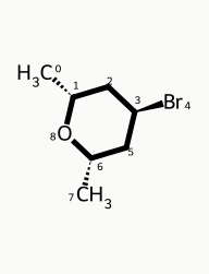 C[C@@H]1C[C@@H](Br)C[C@H](C)O1